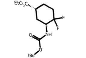 CCOC(=O)[C@@H]1CCC(F)(F)[C@@H](NC(=O)OC(C)(C)C)C1